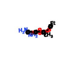 CCc1ccc(OCOc2ccc(OC(=O)c3ccc(OCc4cc(N)ccc4N)cc3)cc2C)cc1